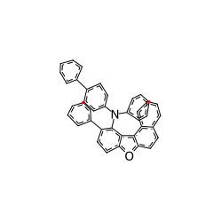 c1ccc(-c2ccc(N(c3ccccc3)c3c(-c4ccccc4)ccc4oc5ccc6ccccc6c5c34)cc2)cc1